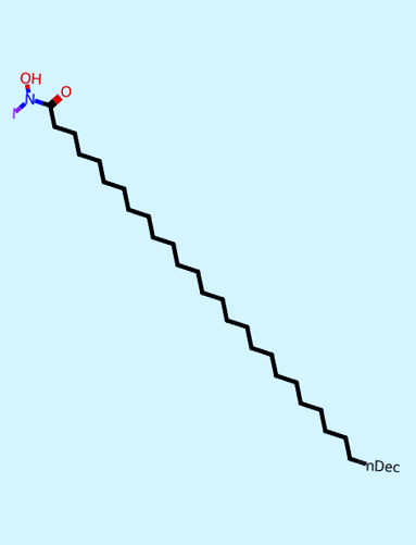 CCCCCCCCCCCCCCCCCCCCCCCCCCCCCCCCCCCC(=O)N(O)I